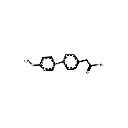 NC(=O)Cc1ccc(-c2ccc(OP)nc2)cc1